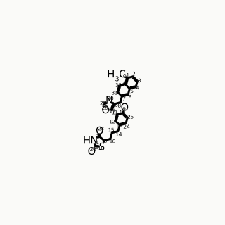 Cc1cccc2cc(C(Oc3ccc(CCCC4SC(=O)NC4=O)cc3)c3cocn3)ccc12